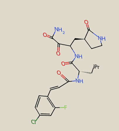 CC(C)C[C@H](NC(=O)/C=C/c1ccc(Cl)cc1F)C(=O)NC(C[C@@H]1CCNC1=O)C(=O)C(N)=O